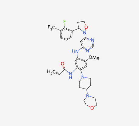 C=CC(=O)Nc1cc(Nc2cc(N3OCCC3c3cccc(C(F)(F)F)c3F)ncn2)c(OC)cc1N1CCC(N2CCOCC2)CC1